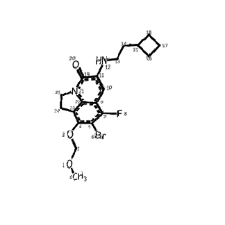 COCOc1c(Br)c(F)c2cc(NCCC3CCC3)c(=O)n3c2c1CC3